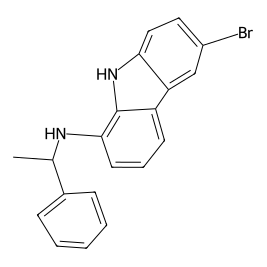 CC(Nc1cccc2c1[nH]c1ccc(Br)cc12)c1ccccc1